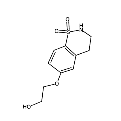 O=S1(=O)NCCc2cc(OCCO)ccc21